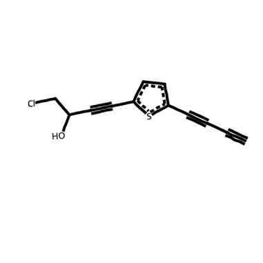 C#CC#Cc1ccc(C#CC(O)CCl)s1